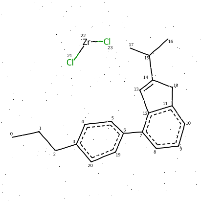 CCCc1ccc(-c2cccc3c2C=C(C(C)C)[CH]3)cc1.[Cl][Zr][Cl]